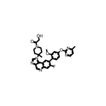 COc1cc(Oc2nccc(C)n2)ccc1-c1cc2c(cc1F)ncc1ncn(C3(C)CCN(C(=O)CO)CC3)c12